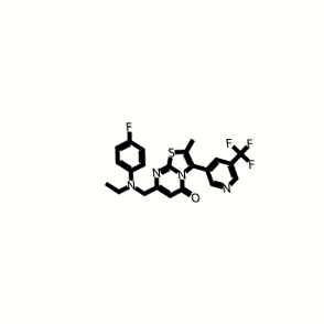 CCN(Cc1cc(=O)n2c(-c3cncc(C(F)(F)F)c3)c(C)sc2n1)c1ccc(F)cc1